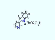 Cc1c(-c2cccnc2)n(CC#CC(=O)O)c2ccccc12